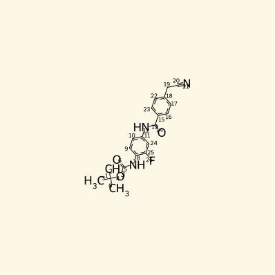 CC(C)(C)OC(=O)Nc1ccc(NC(=O)c2ccc(CC#N)cc2)cc1F